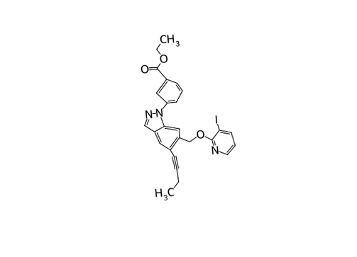 CCC#Cc1cc2cnn(-c3cccc(C(=O)OCC)c3)c2cc1COc1ncccc1I